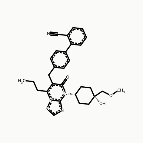 CCCc1c(Cc2ccc(-c3ccccc3C#N)cc2)c(=O)n([C@H]2CC[C@](O)(COC)CC2)c2ncnn12